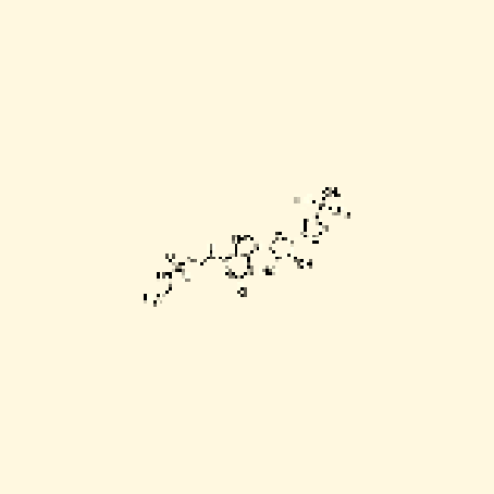 CCNS(=O)(=O)CCNc1nc(Cl)nc2c1ncn2[C@@H]1O[C@H](c2cc(C(C)(C)C)no2)[C@@H](O)[C@@H]1O